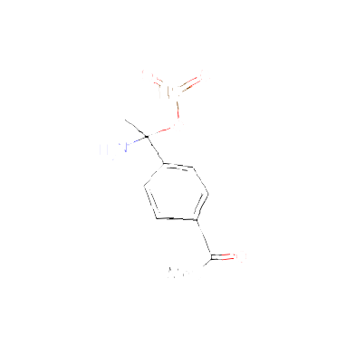 COC(=O)c1ccc(C(C)(N)O[SH](=O)=O)cc1